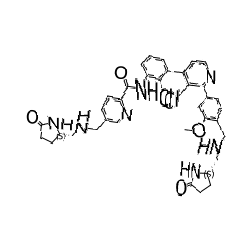 COc1cc(-c2nccc(-c3cccc(NC(=O)c4ccc(CNC[C@@H]5CCC(=O)N5)cn4)c3Cl)c2Cl)ccc1CNC[C@@H]1CCC(=O)N1